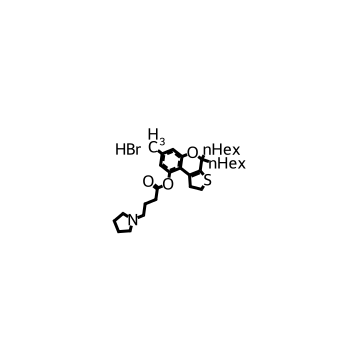 Br.CCCCCCC1(CCCCCC)Oc2cc(C)cc(OC(=O)CCCN3CCCC3)c2C2=C1SCC2